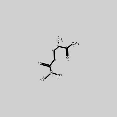 CCCN(CCC)C(=O)CC[C@H](C)C(=O)OC